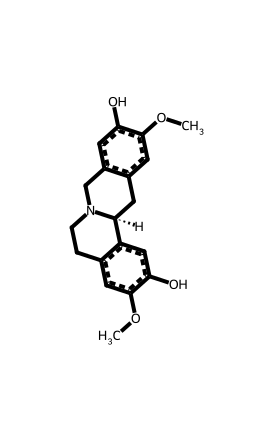 COc1cc2c(cc1O)CN1CCc3cc(OC)c(O)cc3[C@@H]1C2